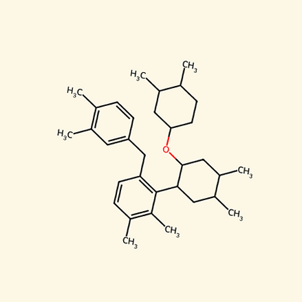 Cc1ccc(Cc2ccc(C)c(C)c2C2CC(C)C(C)CC2OC2CCC(C)C(C)C2)cc1C